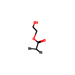 CCC(CC)C(=O)OCCO